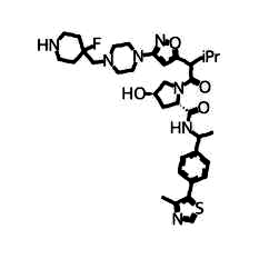 Cc1ncsc1-c1ccc(C(C)NC(=O)[C@@H]2C[C@@H](O)CN2C(=O)C(c2cc(N3CCN(CC4(F)CCNCC4)CC3)no2)C(C)C)cc1